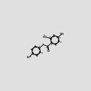 CCc1ccc(CC(=O)c2ccc(CC)cc2O)cc1